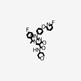 CC(c1ccc(F)cc1)n1cc(C(=O)NC2CCOCC2)c(=O)nc1Nc1ccc(Oc2cccc(F)n2)cc1